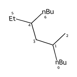 CCCCC(C)[CH]C(CC)CCCC